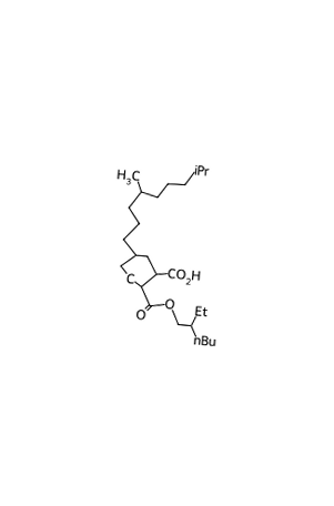 CCCCC(CC)COC(=O)C1CCC(CCCC(C)CCCC(C)C)CC1C(=O)O